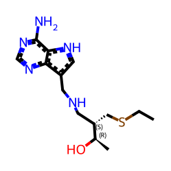 CCSC[C@@H](CNCc1c[nH]c2c(N)ncnc12)[C@@H](C)O